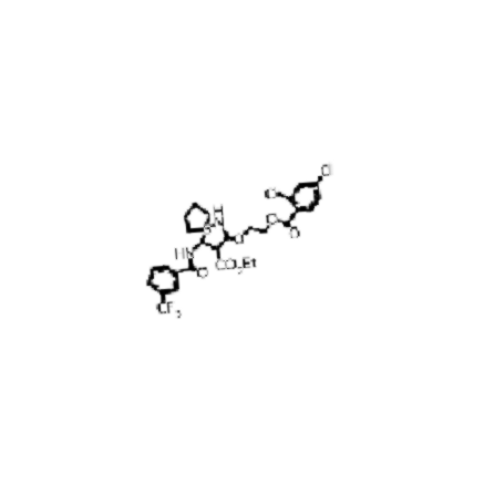 CCOC(=O)C1C(OCCOC(=O)c2ccc(Cl)cc2Cl)NS2(CCCC2)C1NC(=O)c1cccc(C(F)(F)F)c1